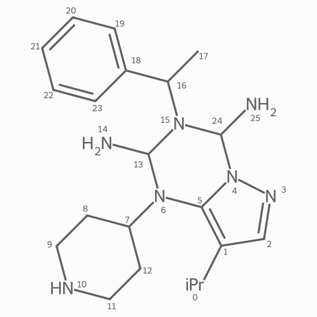 CC(C)c1cnn2c1N(C1CCNCC1)C(N)N(C(C)c1ccccc1)C2N